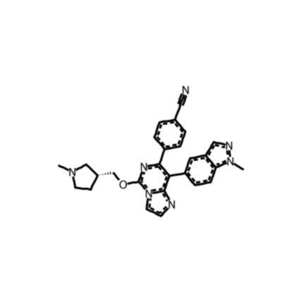 CN1CC[C@@H](COc2nc(-c3ccc(C#N)cc3)c(-c3ccc4c(cnn4C)c3)c3nccn23)C1